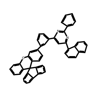 c1ccc(-c2nc(-c3cccc(-c4ccc5c(c4)Oc4ccccc4C54c5ccccc5-c5ccccc54)c3)cc(-c3cccc4ccccc34)n2)cc1